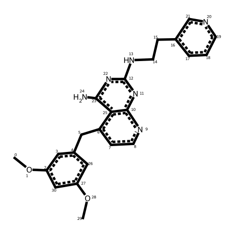 COc1cc(Cc2ccnc3nc(NCCc4cccnc4)nc(N)c23)cc(OC)c1